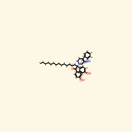 CCCCCCCCCCCCCCC(C(=O)c1ccc(O)cc1)(c1ccc(O)cc1)N1CCc2c([nH]c3ccccc23)C1